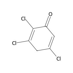 O=C1C=C(Cl)CC(Cl)=C1Cl